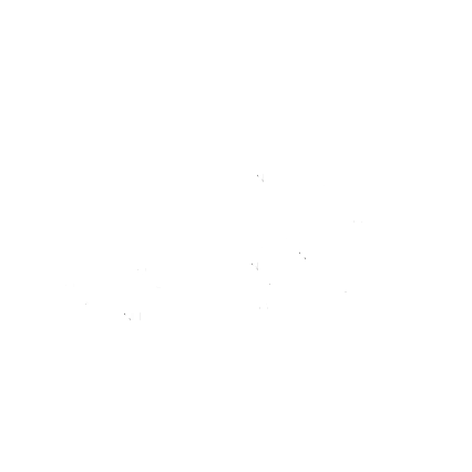 CCCCC[C@H](C)CC(C(=O)Nc1ccc(C(=O)OC(C)[C@H](N)C(=O)O)cc1)n1cc(OC)c(-c2cc(Cl)ccc2C#N)cc1=O